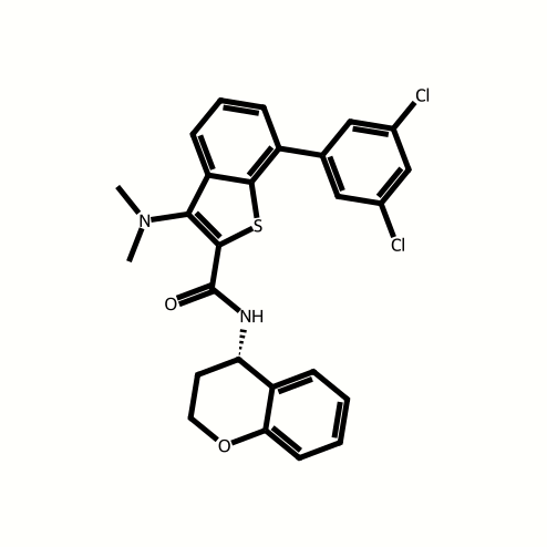 CN(C)c1c(C(=O)N[C@H]2CCOc3ccccc32)sc2c(-c3cc(Cl)cc(Cl)c3)cccc12